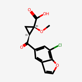 CO[C@]1(C(=O)O)C[C@@H]1C(=O)c1cc(Cl)c2occc2c1